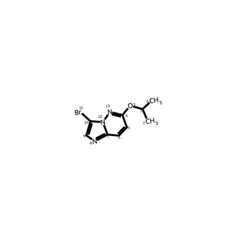 CC(C)Oc1ccc2ncc(Br)n2n1